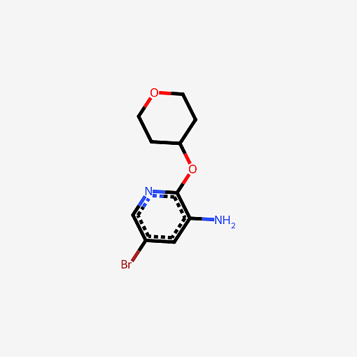 Nc1cc(Br)cnc1OC1CCOCC1